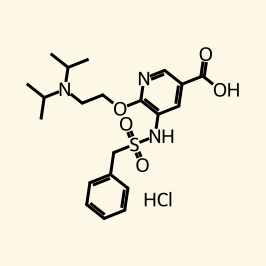 CC(C)N(CCOc1ncc(C(=O)O)cc1NS(=O)(=O)Cc1ccccc1)C(C)C.Cl